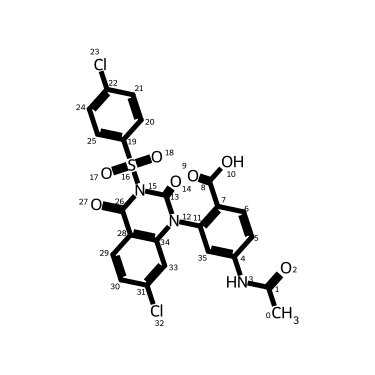 CC(=O)Nc1ccc(C(=O)O)c(-n2c(=O)n(S(=O)(=O)c3ccc(Cl)cc3)c(=O)c3ccc(Cl)cc32)c1